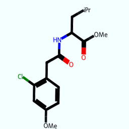 COC(=O)C(CC(C)C)NC(=O)Cc1ccc(OC)cc1Cl